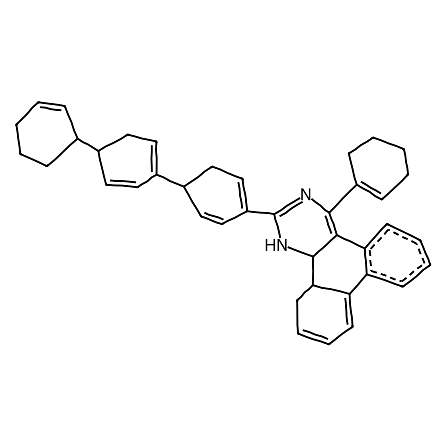 C1=CCC2C(=C1)c1ccccc1C1=C(C3=CCCCC3)N=C(C3=CCC(C4=CCC(C5C=CCCC5)C=C4)C=C3)NC12